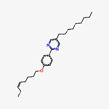 CC/C=C\CCCCOc1ccc(-c2ncc(CCCCCCCCC)cn2)cc1